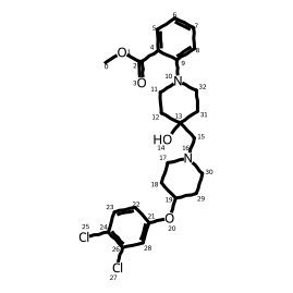 COC(=O)c1ccccc1N1CCC(O)(CN2CCC(Oc3ccc(Cl)c(Cl)c3)CC2)CC1